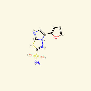 NS(=O)(=O)c1nn2c(-c3ccco3)cnc2s1